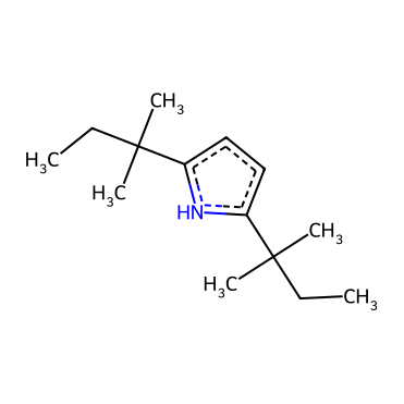 CCC(C)(C)c1ccc(C(C)(C)CC)[nH]1